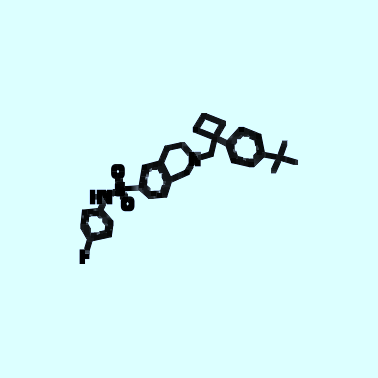 CC(C)(C)c1ccc(C2(CN3CCc4cc(S(=O)(=O)Nc5ccc(F)cc5)ccc4C3)CCC2)cc1